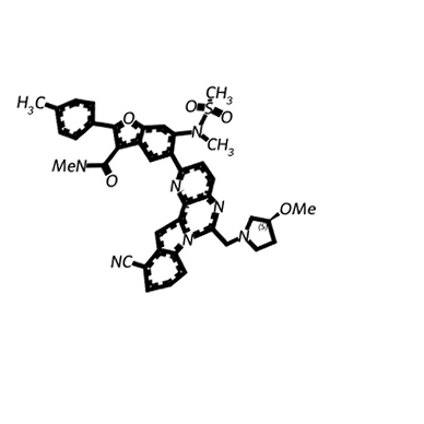 CNC(=O)c1c(-c2ccc(C)cc2)oc2cc(N(C)S(C)(=O)=O)c(-c3ccc4nc(CN5CC[C@H](OC)C5)n5c6cccc(C#N)c6cc5c4n3)cc12